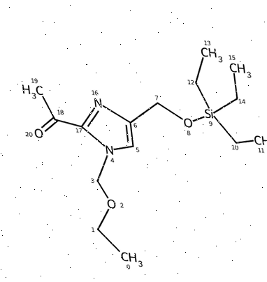 CCOCn1cc(CO[Si](CC)(CC)CC)nc1C(C)=O